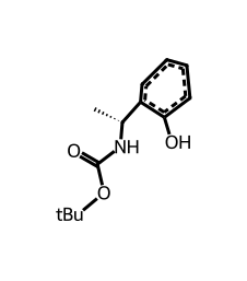 C[C@@H](NC(=O)OC(C)(C)C)c1ccccc1O